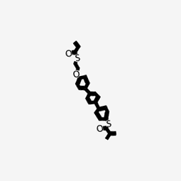 C=CC(=O)SCCOc1ccc(-c2ccc(-c3ccc(SC(=O)C(=C)C)cc3)cc2)cc1